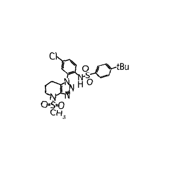 CC(C)(C)c1ccc(S(=O)(=O)Nc2ccc(Cl)cc2-n2nnc3c2CCCN3S(C)(=O)=O)cc1